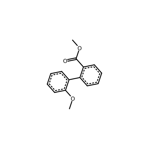 COC(=O)c1ccccc1-c1ccccc1OC